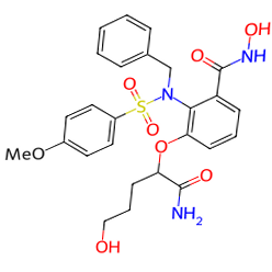 COc1ccc(S(=O)(=O)N(Cc2ccccc2)c2c(OC(CCCO)C(N)=O)cccc2C(=O)NO)cc1